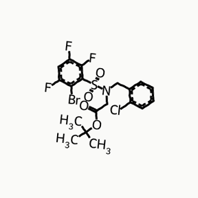 CC(C)(C)OC(=O)CN(Cc1ccccc1Cl)S(=O)(=O)c1c(F)c(F)cc(F)c1Br